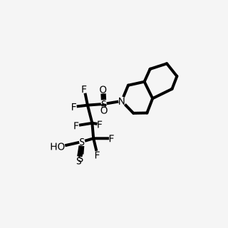 O=S(=O)(N1CCC2CCCCC2C1)C(F)(F)C(F)(F)C(F)(F)S(O)(=S)=S